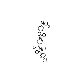 O=C(NC(C1CC1)C1CCN(C(=O)Oc2ccc([N+](=O)[O-])cc2)CC1)c1ccc(Cl)s1